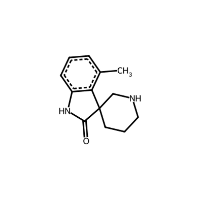 Cc1cccc2c1C1(CCCNC1)C(=O)N2